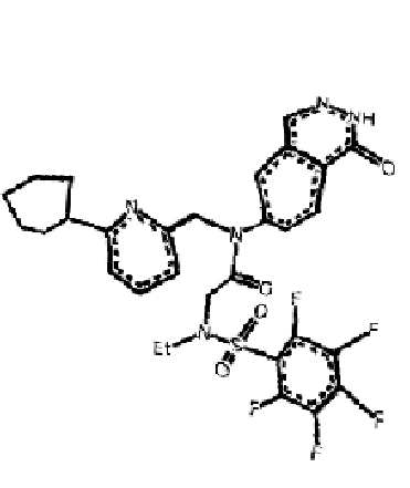 CCN(CC(=O)N(Cc1cccc(C2CCCCC2)n1)c1ccc2c(=O)[nH]ncc2c1)S(=O)(=O)c1c(F)c(F)c(F)c(F)c1F